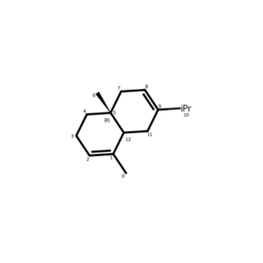 CC1=CCC[C@]2(C)CC=C(C(C)C)CC12